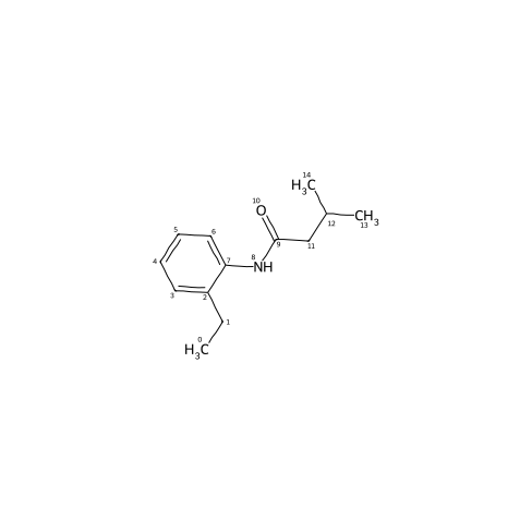 CCc1ccccc1NC(=O)CC(C)C